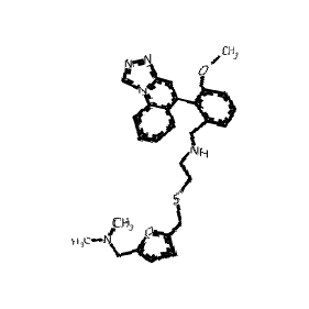 COc1cccc(CNCCSCc2ccc(CN(C)C)o2)c1-c1cc2nncn2c2ccccc12